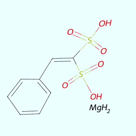 O=S(=O)(O)C(=Cc1ccccc1)S(=O)(=O)O.[MgH2]